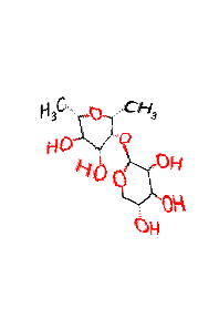 C[C@@H]1O[C@H](C)[C@H](O[C@@H]2OC[C@@H](O)C(O)C2O)C(O)C1O